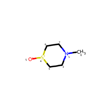 CN1CC[S+]([O-])CC1